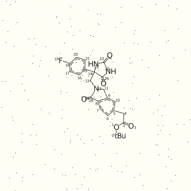 CC(C)(C)OC(=O)Cc1ccc2c(c1)CN(CC1(c3ccc(F)cc3)NC(=O)NC1=O)C2=O